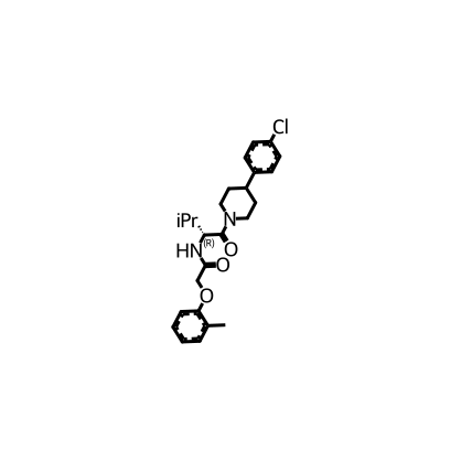 Cc1ccccc1OCC(=O)N[C@@H](C(=O)N1CCC(c2ccc(Cl)cc2)CC1)C(C)C